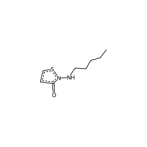 CCCCCNn1sccc1=O